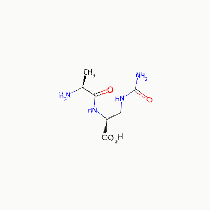 C[C@H](N)C(=O)N[C@@H](CNC(N)=O)C(=O)O